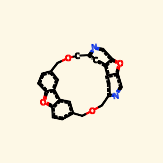 c1cc2oc3ccc4cc3c2cc1COCc1cc2c(cn1)oc1cnc(cc12)COC4